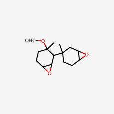 CC1(C2C3OC3CCC2(C)OC=O)CCC2OC2C1